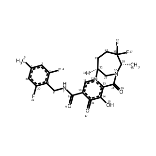 Cc1cc(F)c(CNC(=O)c2cn3c(c(O)c2=O)C(=O)N2C[C@@H]3CCC(F)(F)[C@@H]2C)c(F)c1